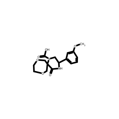 COc1cccc(C2CN(C(=O)O)C3(COCCOC3)C(=O)N2)c1